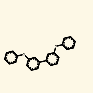 c1ccc(Oc2cccc(-c3cccc(Oc4ccccc4)c3)c2)cc1